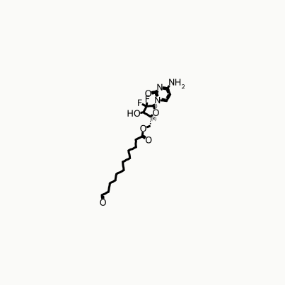 Nc1ccn([C@@H]2O[C@H](COC(=O)CCCCCCCCCCC=O)C(O)C2(F)F)c(=O)n1